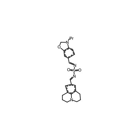 CC(C)N1COc2cc(C=NS(=O)(=O)N=Cc3cc4c5c(c3)CCCN5CCC4)ccc21